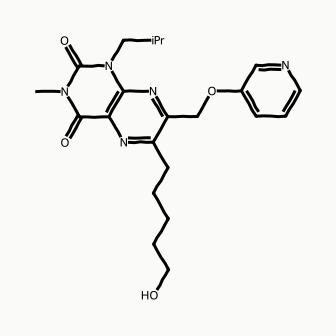 CC(C)Cn1c(=O)n(C)c(=O)c2nc(CCCCCO)c(COc3cccnc3)nc21